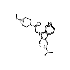 CCN1CCN(C(=O)Cn2c3c(c4ccncc42)CN(C(C)C)CC3)CC1